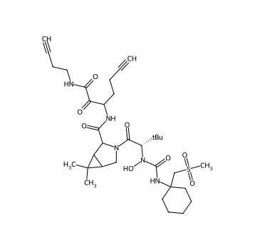 C#CCCNC(=O)C(=O)C(CCC#C)NC(=O)C1C2C(CN1C(=O)[C@@H](N(O)C(=O)NC1(CS(C)(=O)=O)CCCCC1)C(C)(C)C)C2(C)C